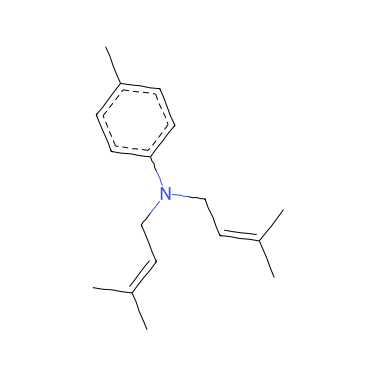 CC(C)=CCN(CC=C(C)C)c1ccc(C)cc1